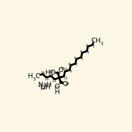 CCCCCCCCCCCCC(CCCCC)(C(=O)O)C(=O)O.[LiH].[NaH]